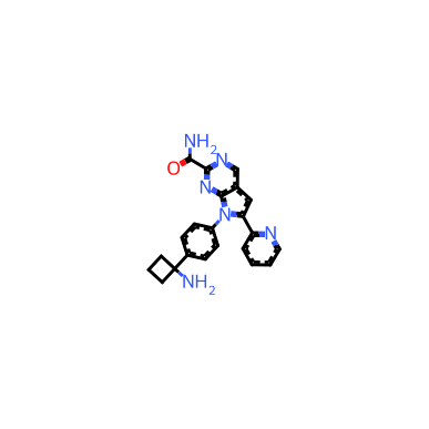 NC(=O)c1ncc2cc(-c3ccccn3)n(-c3ccc(C4(N)CCC4)cc3)c2n1